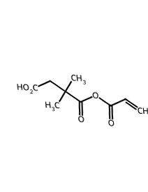 C=CC(=O)OC(=O)C(C)(C)CC(=O)O